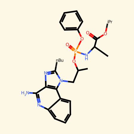 CCCCc1nc2c(N)nc3ccccc3c2n1CC(C)OP(=O)(NC(C)C(=O)OC(C)C)Oc1ccccc1